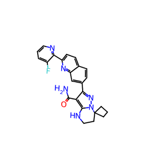 NC(=O)c1c(-c2ccc3ccc(-c4ncccc4F)nc3c2)nn2c1NCCC21CCC1